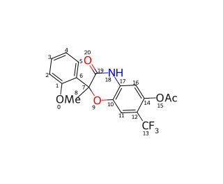 COc1ccccc1C1(C)Oc2cc(C(F)(F)F)c(OC(C)=O)cc2NC1=O